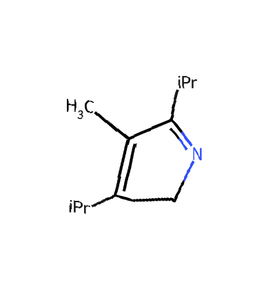 CC1=C(C(C)C)CN=C1C(C)C